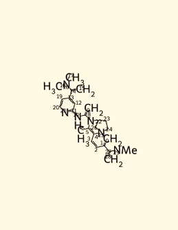 C=C(/C=C\C1=C(C)N(C(=C)Nc2cc(C(=C)N(C)C)ccn2)C2CCN1C2)C(=C)NC